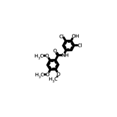 COc1cc(OC)c(C(=O)Nc2cc(Cl)c(O)c(Cl)c2)cc1OC